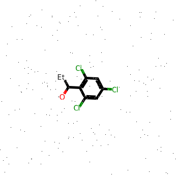 CCC([O])c1c(Cl)cc(Cl)cc1Cl